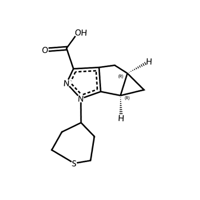 O=C(O)c1nn(C2CCSCC2)c2c1C[C@H]1C[C@@H]21